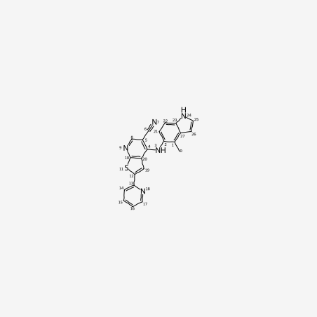 Cc1c(Nc2c(C#N)cnc3sc(-c4ccccn4)cc23)ccc2[nH]ccc12